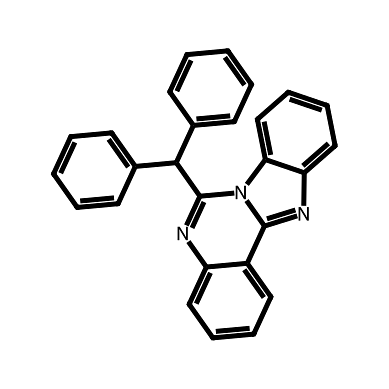 c1ccc(C(c2ccccc2)c2nc3ccccc3c3nc4ccccc4n23)cc1